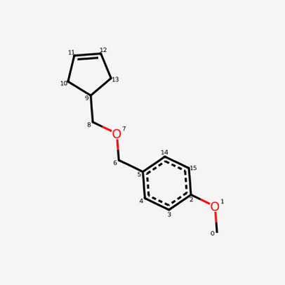 COc1ccc(COCC2CC=CC2)cc1